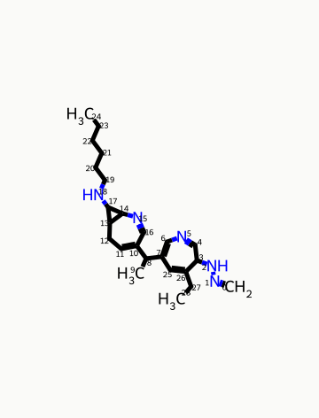 C=NNC1C=NC=C(C(C)C2=CCC3C(N=C2)C3NCCCCCC)C=C1CC